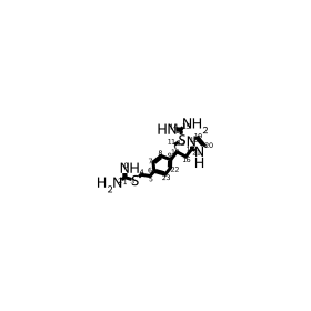 N=C(N)SCCc1ccc([C@H](CSC(=N)N)Cc2ncc[nH]2)cc1